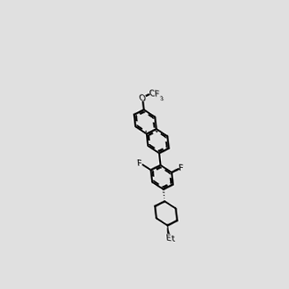 CC[C@H]1CC[C@H](c2cc(F)c(-c3ccc4cc(OC(F)(F)F)ccc4c3)c(F)c2)CC1